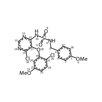 COc1ccc(CNS(=O)(=O)Nc2ncnc(Cl)c2Oc2cc(OC)ccc2Cl)cc1